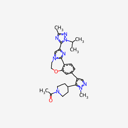 CC(=O)N1CCC(c2c(-c3ccc4c(c3)OCCn3cc(-c5nc(C)nn5C(C)C)nc3-4)cnn2C)CC1